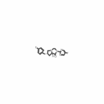 O=C1[C@@H]2C[C@H](Cc3ccc(F)cc3)CN2CCN1c1ncc(F)cn1